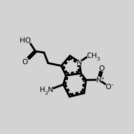 Cn1cc(CCC(=O)O)c2c(N)ccc([N+](=O)[O-])c21